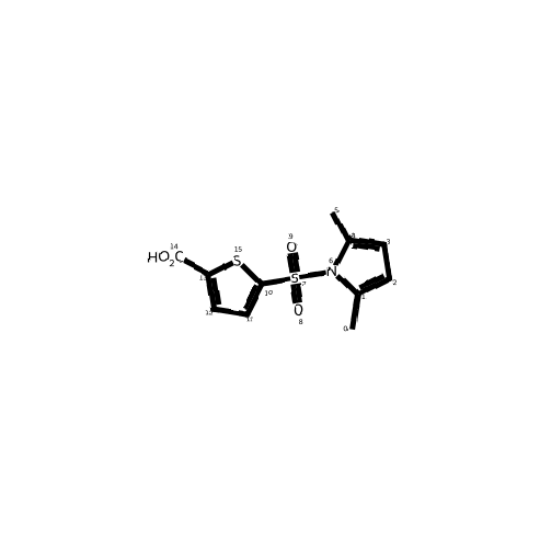 Cc1ccc(C)n1S(=O)(=O)c1ccc(C(=O)O)s1